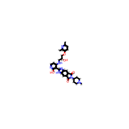 Cc1ccc(OC[C@H](O)CNc2ccnc(O)c2-c2nc3cc4c(cc3[nH]2)C(=O)N(C2CCN(C)CC2)C4=O)c(C)n1